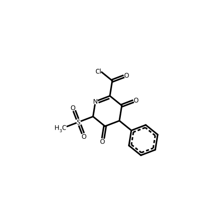 CS(=O)(=O)C1N=C(C(=O)Cl)C(=O)C(c2ccccc2)C1=O